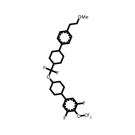 COCCc1ccc(C2CCC(C(F)(F)OC3CCC(c4cc(F)c(OC(F)(F)F)c(F)c4)CC3)CC2)cc1